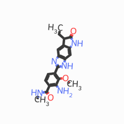 CCC1C(=O)Nc2cc3[nH]c(-c4ccc(C(=O)NC)c(N)c4OC)nc3cc21